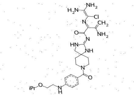 C=C(N)/C(=N\C(Cl)=C(N)N)C(=O)/N=C1\NCC2(CCN(C(=O)c3ccc(NCCOC(C)C)cc3)CC2)N1